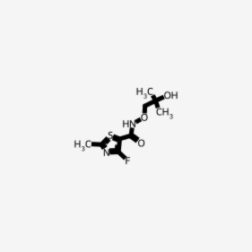 Cc1nc(F)c(C(=O)NOCC(C)(C)O)s1